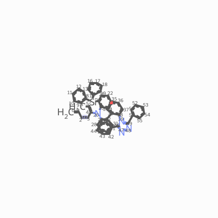 C=C/C=C\C1=C(C)[Si](c2ccccc2)(c2ccccc2)c2ccccc2N1c1ccccc1-c1ccccc1-n1c(-c2ccccc2)nnc1-c1ccccc1